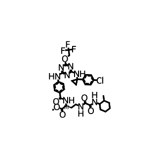 COC(=O)[C@H](CCNC(=O)C(=O)NC1CCCCC1C)NC(=O)c1ccc(Nc2nc(NC3(c4ccc(Cl)cc4)CC3)nc(OCC(F)(F)F)n2)cc1